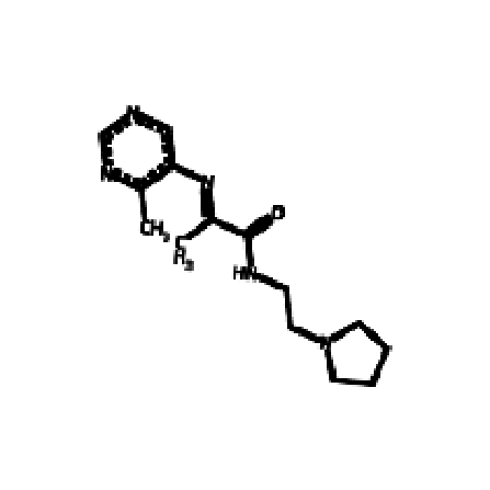 C/C(=N\c1cncnc1C)C(=O)NCCN1CCCC1